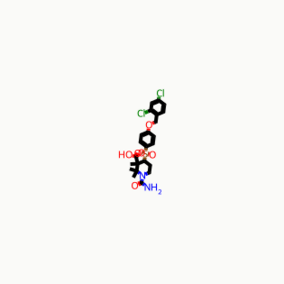 CC1(C(=O)O)C(S(=O)(=O)c2ccc(OCc3ccc(Cl)cc3Cl)cc2)CCN(C(N)=O)C1(C)C